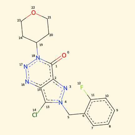 O=c1c2nn(Cc3ccccc3F)c(Cl)c2nnn1C1CCOCC1